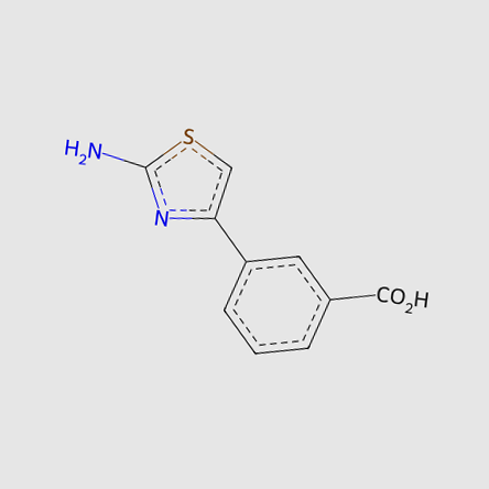 Nc1nc(-c2cccc(C(=O)O)c2)cs1